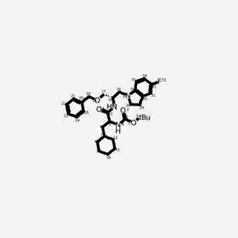 CC(C)(C)OC(=O)NC(CC1CCCCC1)C(=O)N[C@H](COCc1ccccc1)CN1CCc2cc(F)ccc21